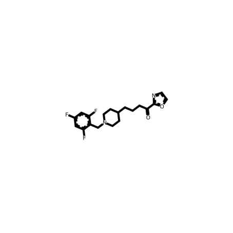 O=C(CCCC1CCN(Cc2c(F)cc(F)cc2F)CC1)c1ncco1